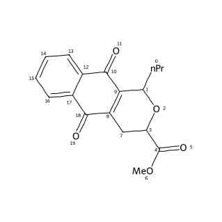 CCCC1OC(C(=O)OC)CC2=C1C(=O)c1ccccc1C2=O